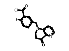 O=C(Cl)c1cc(CN2CCC(=O)c3ncccc32)ccc1F